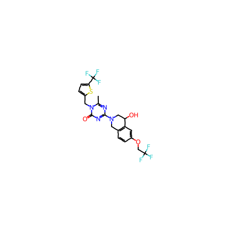 Cc1nc(N2Cc3ccc(OCC(F)(F)F)cc3C(O)C2)nc(=O)n1Cc1ccc(C(F)(F)F)s1